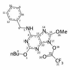 CCCCOc1nc(NCc2ccccc2)c2nc(OC)n(OC(=O)C(F)(F)F)c2n1